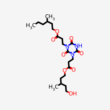 CCCC(C)CCOC(=O)CCn1c(=O)[nH]c(=O)n(CCC(=O)OCCC(C)CCO)c1=O